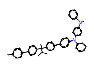 Cc1ccc(-c2ccc(C(C)(c3ccc(-c4ccc(N(c5ccccc5)c5ccc(N(C)c6ccccc6)cc5)cc4)cc3)C(C)C)cc2)cc1